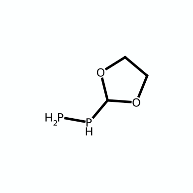 PPC1OCCO1